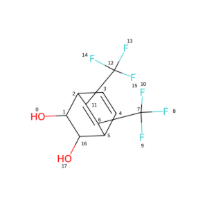 OC1C2C=CC(C(C(F)(F)F)=C2C(F)(F)F)C1O